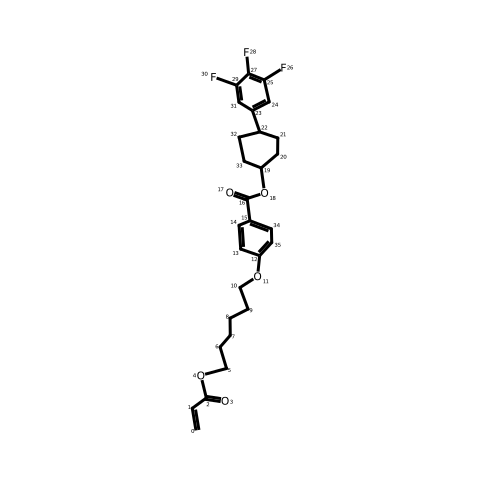 C=CC(=O)OCCCCCCOc1ccc(C(=O)OC2CCC(c3cc(F)c(F)c(F)c3)CC2)cc1